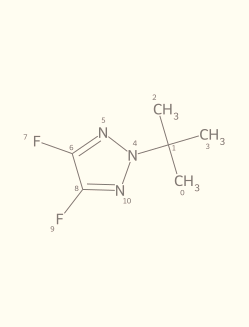 CC(C)(C)n1nc(F)c(F)n1